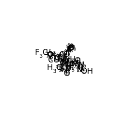 CCOC(=O)c1cc(C(F)(F)F)ccc1C1CCN(C(=O)[C@@H](NC(=O)[C@@H]2CN(C(=O)c3cnc(O)cn3)CC23CN(C(=O)[C@H]2CC2(C)C)C3)[C@@H](C)OCC23CCC(CC2)OC3)CC1